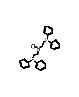 ClN(CCP(c1ccccc1)c1ccccc1)CCP(c1ccccc1)c1ccccc1